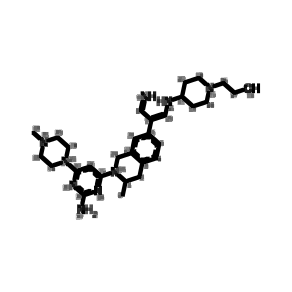 CC1Cc2ccc(/C(C=N)=C/NC3CCN(CCO)CC3)cc2CN1c1cc(N2CCN(C)CC2)nc(N)n1